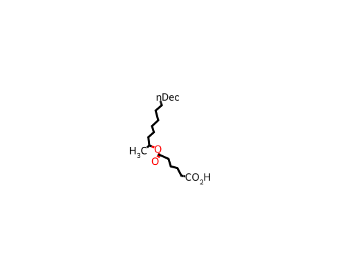 CCCCCCCCCCCCCCCCC(C)OC(=O)CCCCC(=O)O